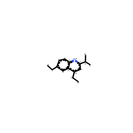 CCc1ccc2nc(C(C)C)cc(CC)c2c1